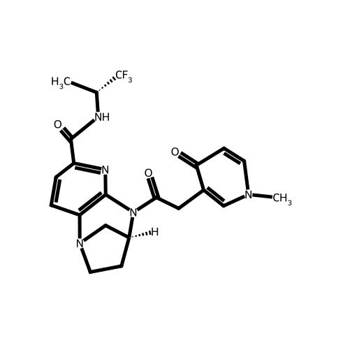 C[C@@H](NC(=O)c1ccc2c(n1)N(C(=O)Cc1cn(C)ccc1=O)[C@H]1CCN2C1)C(F)(F)F